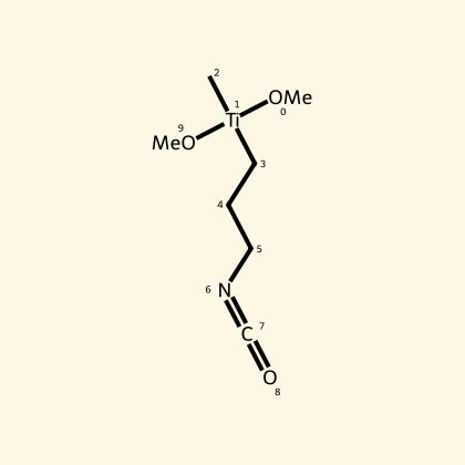 C[O][Ti]([CH3])([CH2]CCN=C=O)[O]C